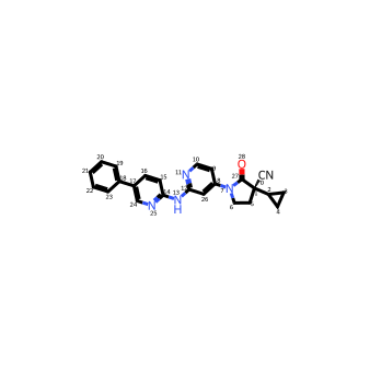 N#C[C@@]1(C2CC2)CCN(c2ccnc(Nc3ccc(-c4ccccc4)cn3)c2)C1=O